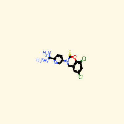 N/N=C(\N)c1ccc(N2Cc3cc(Cl)cc(Cl)c3OC2=S)cn1